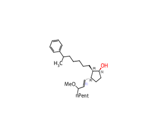 CCCCCC(/C=C/[C@H]1CC[C@H](O)[C@@H]1CCCCCC(C)c1ccccc1)OC